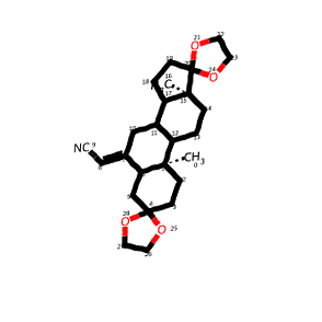 C[C@]12CCC3(CC1/C(=C/C#N)CC1C2CC[C@@]2(C)C1CCC21OCCO1)OCCO3